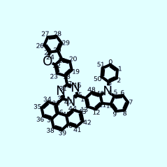 c1ccc(-n2c3ccccc3c3ccc(-c4nc(-c5ccc6c(c5)oc5ccccc56)nc(-c5cccc6ccc7ccccc7c56)n4)cc32)cc1